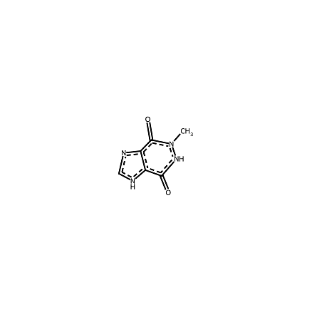 Cn1[nH]c(=O)c2[nH]cnc2c1=O